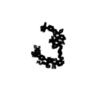 Cc1ncsc1-c1ccc(CNC(=O)[C@@H]2CCCN2C(=O)[C@@H](NC(=O)CCCCOc2cc(Nc3[nH]nc(-c4ccc(NS(=O)(=O)CC(F)(F)F)cc4)c3C(N)=O)ccn2)C(C)(C)C)cc1